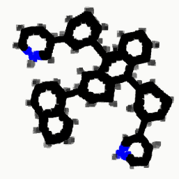 c1cncc(-c2cccc(-c3c4ccccc4c(-c4cccc(-c5cccnc5)c4)c4cc(-c5cccc6ccccc56)ccc34)c2)c1